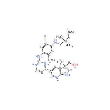 COCC(C)(C)CNc1cc(OC)c(Nc2nccc(-c3cnc4c(c3)C(C)(CO)CN4)n2)cc1F